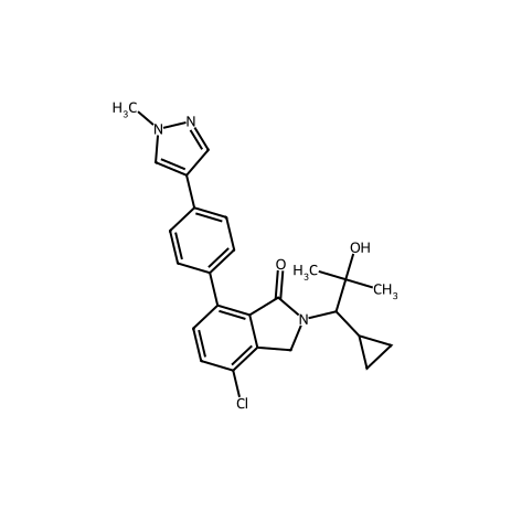 Cn1cc(-c2ccc(-c3ccc(Cl)c4c3C(=O)N(C(C3CC3)C(C)(C)O)C4)cc2)cn1